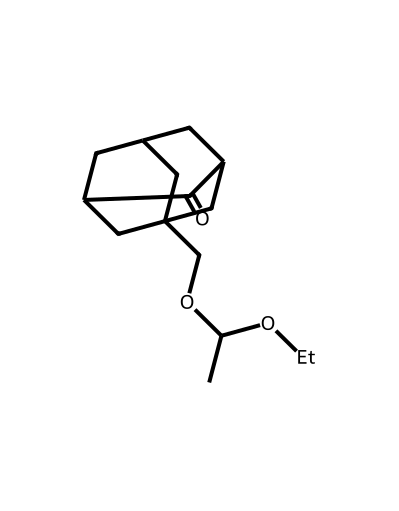 CCOC(C)OCC12CC3CC(C1)C(=O)C(C3)C2